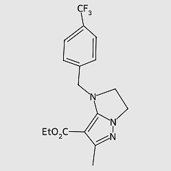 CCOC(=O)c1c(C)nn2c1N(Cc1ccc(C(F)(F)F)cc1)CC2